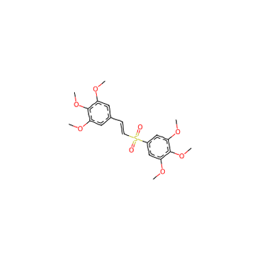 COc1cc(C=CS(=O)(=O)c2cc(OC)c(OC)c(OC)c2)cc(OC)c1OC